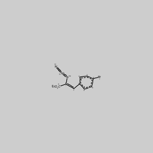 CCOC(=O)C(=Cc1ccc(Br)cc1)N=[N+]=[N-]